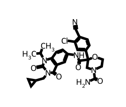 CC(C)n1c(=O)n(CC2CC2)c(=O)c2cc(NC(=O)C3(c4ccc(C#N)c(Cl)c4)CN(C(N)=O)CCO3)ccc21